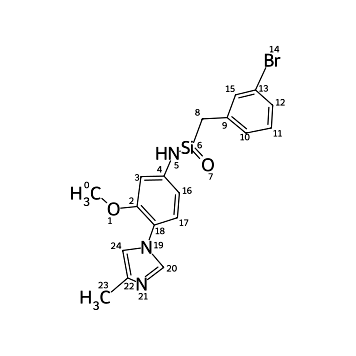 COc1cc(N[Si](=O)Cc2cccc(Br)c2)ccc1-n1cnc(C)c1